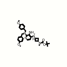 COc1ccc(CN(Cc2ccc(OC)cc2)c2nccc(N[C@H]3C[C@@H](N(C)C(=O)OC(C)(C)C)C3)c2N)cc1